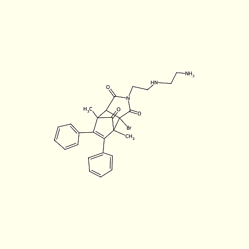 CC12C(=O)C(C)(C(c3ccccc3)=C1c1ccccc1)C1(Br)C(=O)N(CCNCCN)C(=O)C21